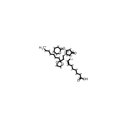 CCCCCCCC1(CC[C@H]2[C@H](OC3CCCCO3)CC(=O)[C@@H]2C/C=C\CCCCCC(=O)O)OCCO1